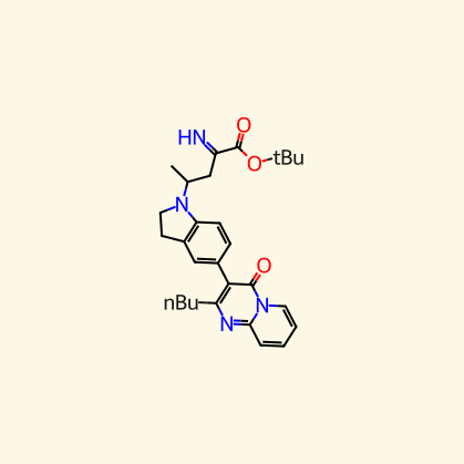 CCCCc1nc2ccccn2c(=O)c1-c1ccc2c(c1)CCN2C(C)CC(=N)C(=O)OC(C)(C)C